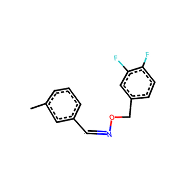 Cc1cccc(/[C]=N\OCc2ccc(F)c(F)c2)c1